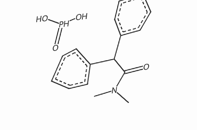 CN(C)C(=O)C(c1ccccc1)c1ccccc1.O=[PH](O)O